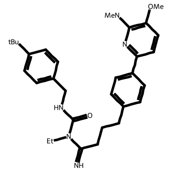 CCN(C(=N)CCCc1ccc(-c2ccc(OC)c(NC)n2)cc1)C(=O)NCc1ccc(C(C)(C)C)cc1